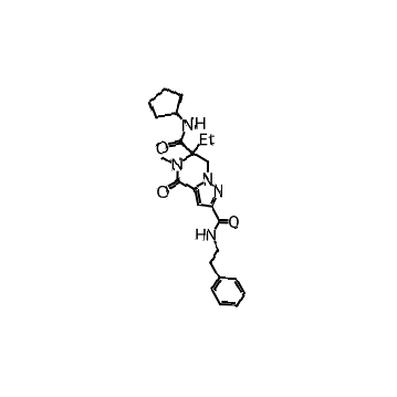 CCC1(C(=O)NC2CCCC2)Cn2nc(C(=O)NCCc3ccccc3)cc2C(=O)N1C